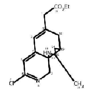 CCOC(=O)CC1=CC2=CC(Cl)=NCC23NC(C)CC3C1